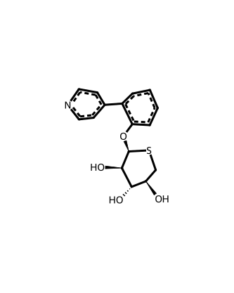 O[C@@H]1[C@@H](O)[C@@H](Oc2ccccc2-c2ccncc2)SC[C@H]1O